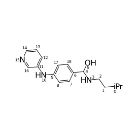 CC(C)CCNC(O)c1ccc(Nc2cccnc2)cc1